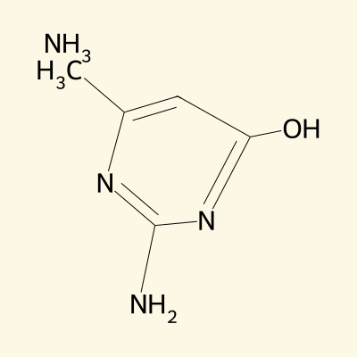 Cc1cc(O)nc(N)n1.N